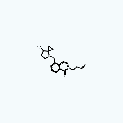 NC1CCN(Sc2cccc3c(=O)n(COC=O)ccc23)C12CC2